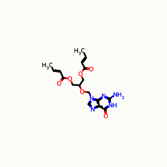 CC=CC(=O)OCC(COC(=O)C=CC)OCn1cnc2c(=O)[nH]c(N)nc21